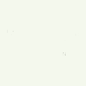 C=CCC1CNC(=O)C1